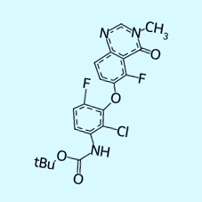 Cn1cnc2ccc(Oc3c(F)ccc(NC(=O)OC(C)(C)C)c3Cl)c(F)c2c1=O